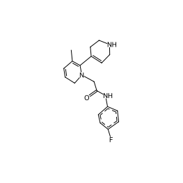 CC1=C(C2=CCNCC2)N(CC(=O)Nc2ccc(F)cc2)CC=C1